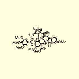 CCCCNC(=N)NC(=N)N.COC(=O)[C@H]1[C@H]2C[C@@H]3c4[nH]c5cc(OC)ccc5c4CCN3C[C@H]2C[C@@H](OC(=O)c2cc(OC)c(OC)c(OC)c2)[C@@H]1OC.Cl